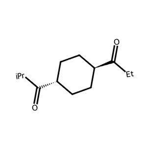 CCC(=O)[C@H]1CC[C@H](C(=O)C(C)C)CC1